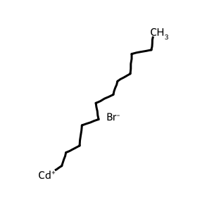 CCCCCCCCCCC[CH2][Cd+].[Br-]